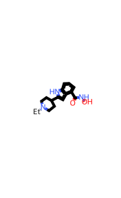 CCN1CCC(c2cc3c(C(=O)NO)cccc3[nH]2)CC1